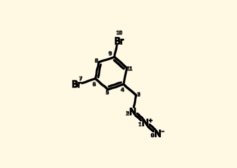 [N-]=[N+]=NCc1cc(Br)cc(Br)c1